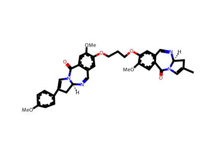 COc1ccc(C2=CN3C(=O)c4cc(OC)c(OCCCOc5cc6c(cc5OC)C(=O)N5C=C(C)C[C@@H]5N=C6)cc4C=N[C@H]3C2)cc1